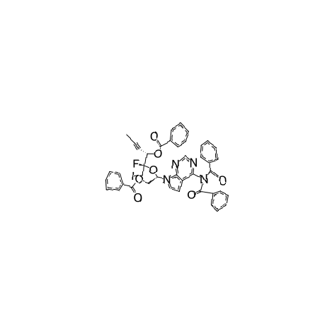 CC#C[C@H](OC(=O)c1ccccc1)[C@@](F)(CI)O[C@H](COC(=O)c1ccccc1)n1ccc2c(N(C(=O)c3ccccc3)C(=O)c3ccccc3)ncnc21